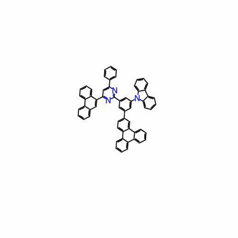 c1ccc(-c2cc(-c3cc4ccccc4c4ccccc34)nc(-c3cc(-c4ccc5c6ccccc6c6ccccc6c5c4)cc(-n4c5ccccc5c5ccccc54)c3)n2)cc1